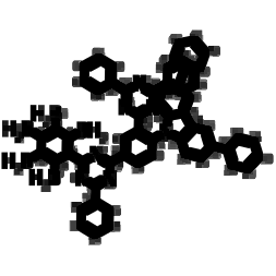 Bc1c(B)c(B)c(-c2nc(-c3ccccc3)nc(-c3ccc(-n4c5ccc(-c6ccccc6)cc5c5cc(-c6ccccc6)ccc54)c(-c4nc(-c5ccccc5)nc(-c5ccccc5)n4)c3)n2)c(B)c1B